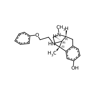 CN1CC[C@@]2(C)c3cc(O)ccc3C[C@@H]1[C@@H]2NCCOc1ccccc1